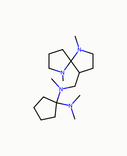 CN(C)C1(N(C)CC2CCN(C)C23CCCN3C)CCCC1